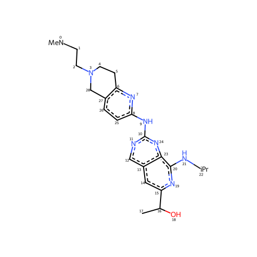 CNCCN1CCc2nc(Nc3ncc4cc(C(C)O)nc(NC(C)C)c4n3)ccc2C1